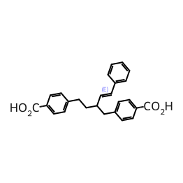 O=C(O)c1ccc(CCC(/C=C/c2ccccc2)Cc2ccc(C(=O)O)cc2)cc1